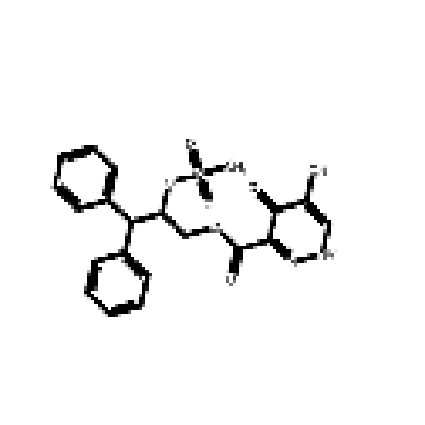 CS(=O)(=O)OC(COC(=O)c1n[nH]cc(O)c1=O)C(c1ccccc1)c1ccccc1